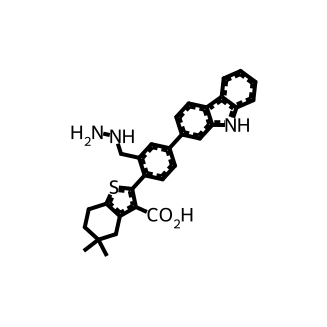 CC1(C)CCc2sc(-c3ccc(-c4ccc5c(c4)[nH]c4ccccc45)cc3CNN)c(C(=O)O)c2C1